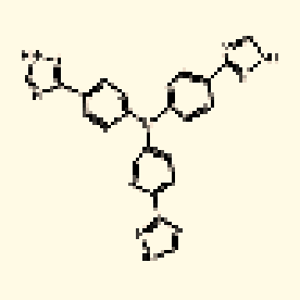 c1nc(-c2ccc(N(c3ccc(-c4nc[nH]n4)cc3)c3ccc(-c4nc[nH]n4)cc3)cc2)n[nH]1